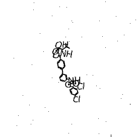 CC(C)C(NC(=O)c1ccc(-c2cccc(NS(=O)(=O)c3ccc(Cl)cc3Cl)c2)cc1)C(=O)O